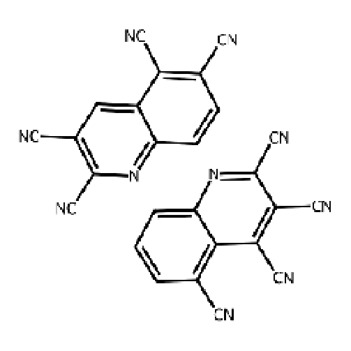 N#Cc1cc2c(C#N)c(C#N)ccc2nc1C#N.N#Cc1nc2cccc(C#N)c2c(C#N)c1C#N